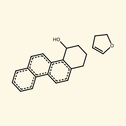 C1=COCC1.OC1CCCc2ccc3c(ccc4ccccc43)c21